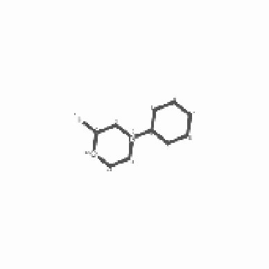 FC1CN(C2CCCCC2)CCO1